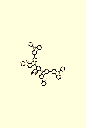 N=Cc1c(-n2c3ccc(-c4ccc5c(c4)c4ccccc4n5-c4ccccc4)cc3c3c4oc5ccccc5c4ccc32)ccc(-n2c3ccc(-c4ccc5c(c4)c4ccccc4n5-c4ccccc4)cc3c3c4oc5ccccc5c4ccc32)c1C=N